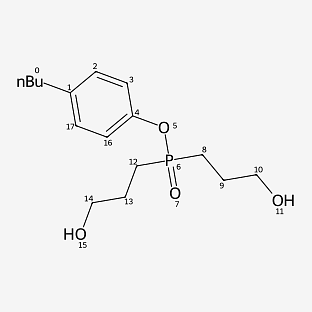 CCCCc1ccc(OP(=O)(CCCO)CCCO)cc1